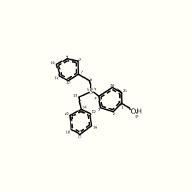 Oc1ccc([S+](Cc2ccccc2)Cc2ccccc2)cc1